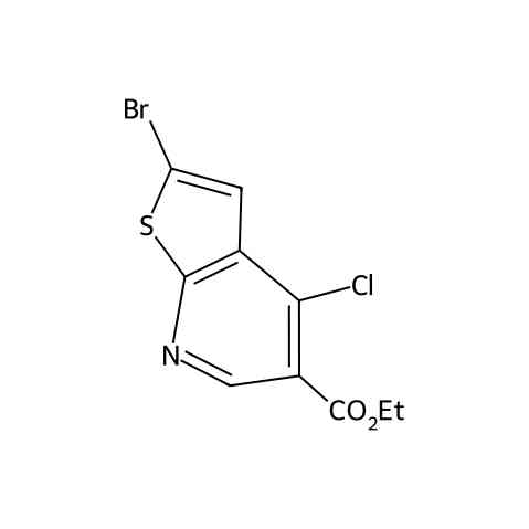 CCOC(=O)c1cnc2sc(Br)cc2c1Cl